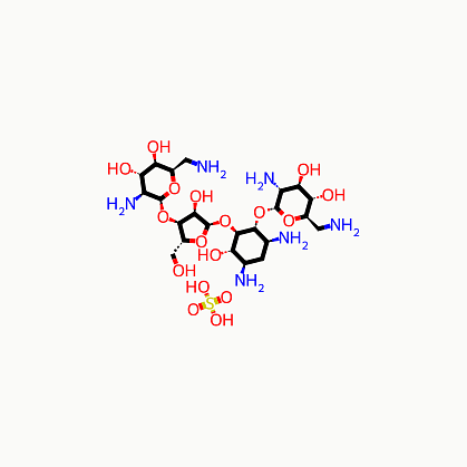 NC[C@H]1O[C@@H](O[C@H]2[C@@H](O)[C@@H](O[C@@H]3[C@@H](O)[C@H](N)C[C@H](N)[C@H]3O[C@H]3O[C@H](CN)[C@@H](O)[C@H](O)[C@H]3N)O[C@@H]2CO)[C@@H](N)[C@H](O)[C@H]1O.O=S(=O)(O)O